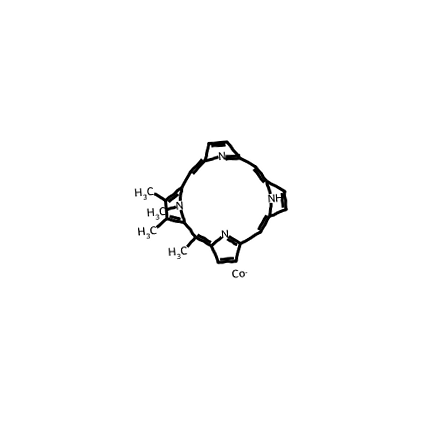 Cc1c(C)c2c(C)c3nc(cc4ccc(cc5nc(cc1n2C)C=C5)[nH]4)C=C3.[Co]